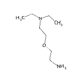 CCN(CC)CCOCCN